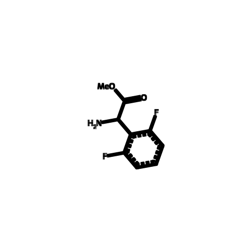 COC(=O)C(N)c1c(F)cccc1F